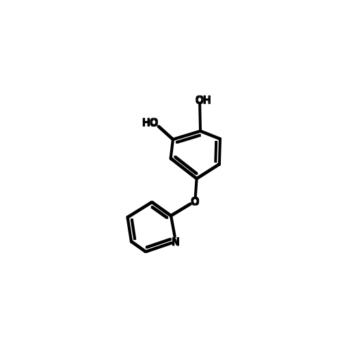 Oc1ccc(Oc2ccccn2)cc1O